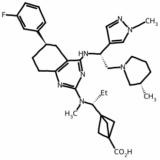 CC[C@@H](N(C)c1nc2c(c(N[C@@H](CN3CCC[C@H](C)C3)c3cnn(C)c3)n1)C[C@H](c1cccc(F)c1)CC2)C12CC(C(=O)O)(C1)C2